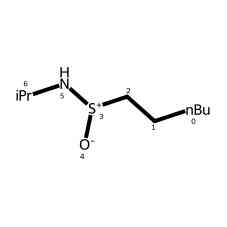 CCCCCC[S+]([O-])NC(C)C